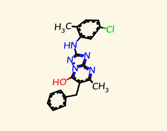 Cc1ccc(Cl)cc1Nc1nc2nc(C)c(Cc3ccccc3)c(O)n2n1